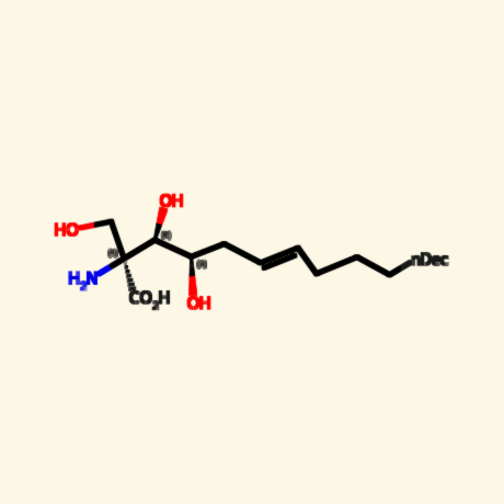 CCCCCCCCCCCCCC=CC[C@@H](O)[C@H](O)[C@@](N)(CO)C(=O)O